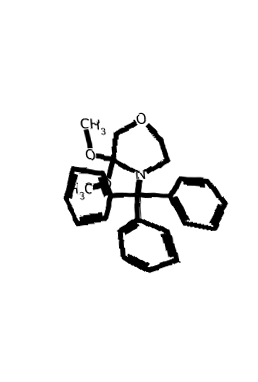 COC1(OC)COCCN1C(c1ccccc1)(c1ccccc1)c1ccccc1